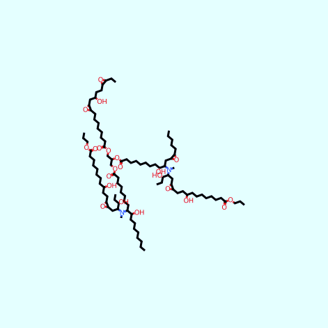 CCCCCCCCC(O)C(CCCCCCCC(=O)OCC(COC(=O)CCCCCCCC1OC1CC(O)CCC1OC1CC)OC(=O)CCCCCCCC(O)C(CC1OC1CCCCC)N(C)C(CC1OC1CCC(O)CCCCCCCC(=O)OCCC)C(O)CC)N(C)C(CC1OC1CCC(O)CCCCCCCC(=O)OCCC)C(O)CC